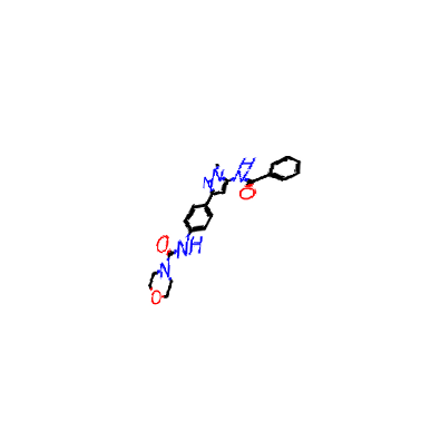 Cn1nc(-c2ccc(NC(=O)N3CCOCC3)cc2)cc1NC(=O)c1ccccc1